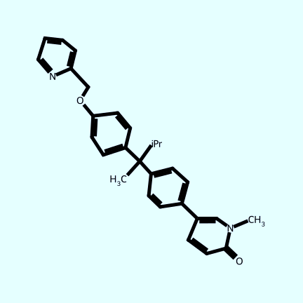 CC(C)C(C)(c1ccc(OCc2ccccn2)cc1)c1ccc(-c2ccc(=O)n(C)c2)cc1